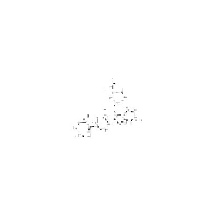 COC(=O)N1CCO[C@@H](Cc2c(-c3c(F)cc(C4=NC=CCCC4C)cc3F)nc3cc(C)ccn23)C1